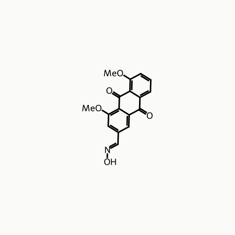 COc1cccc2c1C(=O)c1c(OC)cc(C=NO)cc1C2=O